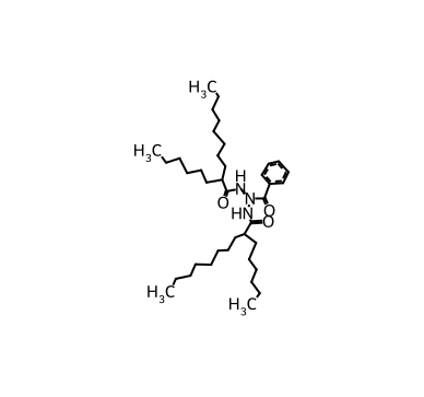 CCCCCCCCC(CCCCCC)C(=O)NN(NC(=O)C(CCCCCC)CCCCCCCC)C(=O)c1ccccc1